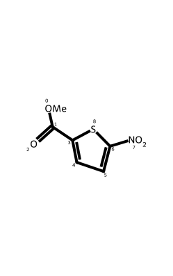 COC(=O)c1ccc([N+](=O)[O-])s1